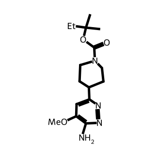 CCC(C)(C)OC(=O)N1CCC(c2cc(OC)c(N)nn2)CC1